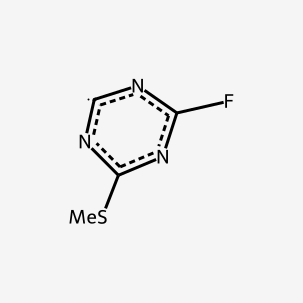 CSc1n[c]nc(F)n1